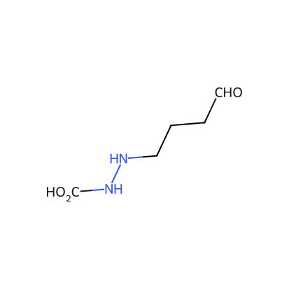 O=CCCCNNC(=O)O